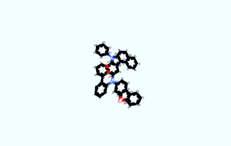 c1ccc(-c2ccccc2N(c2ccc3c(c2)oc2ccccc23)c2ccc3c(c2)c2c4ccccc4ccc2n3-c2ccccc2)cc1